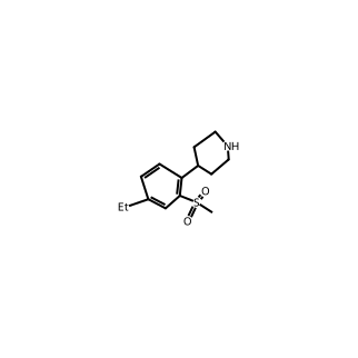 CCc1ccc(C2CCNCC2)c(S(C)(=O)=O)c1